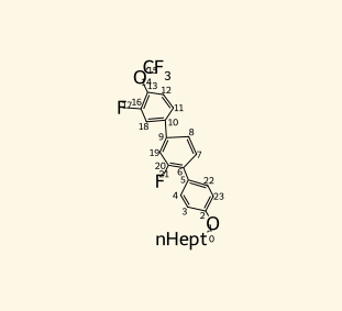 CCCCCCCOc1ccc(-c2ccc(-c3ccc(OC(F)(F)F)c(F)c3)cc2F)cc1